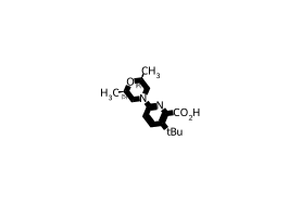 C[C@@H]1CN(c2ccc(C(C)(C)C)c(C(=O)O)n2)C[C@H](C)O1